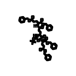 CC(C)(C)OC(=O)NC(CCC(=O)NC(CCC(=O)OCc1ccccc1)C(=O)OCc1ccccc1)C(=O)NC(CCC(=O)OCc1ccccc1)C(=O)OCc1ccccc1